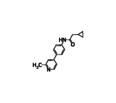 Cc1cc(-c2ccc(NC(=O)CC3CC3)cc2)ccn1